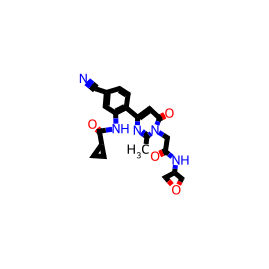 Cc1nc(-c2ccc(C#N)cc2NC(=O)C2CC2)cc(=O)n1CC(=O)NC1COC1